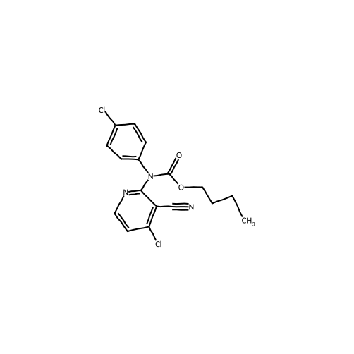 CCCCOC(=O)N(c1ccc(Cl)cc1)c1nccc(Cl)c1C#N